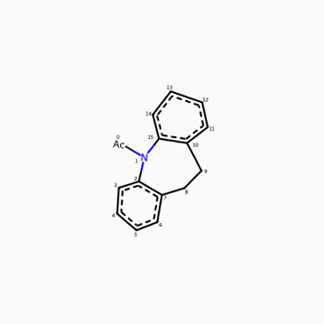 CC(=O)N1c2ccccc2CCc2ccccc21